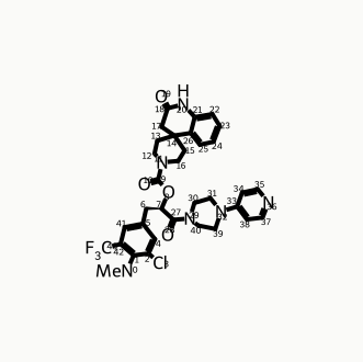 CNc1c(Cl)cc(C[C@@H](OC(=O)N2CCC3(CC2)CC(=O)Nc2ccccc23)C(=O)N2CCN(c3ccncc3)CC2)cc1C(F)(F)F